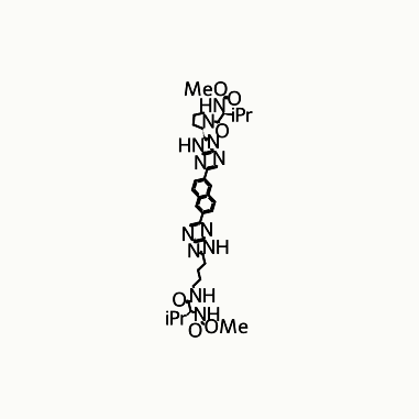 COC(=O)N[C@H](C(=O)NCCCCc1nc2ncc(-c3ccc4cc(-c5cnc6nc([C@@H]7CCCN7C(=O)[C@@H](NC(=O)OC)C(C)C)[nH]c6n5)ccc4c3)nc2[nH]1)C(C)C